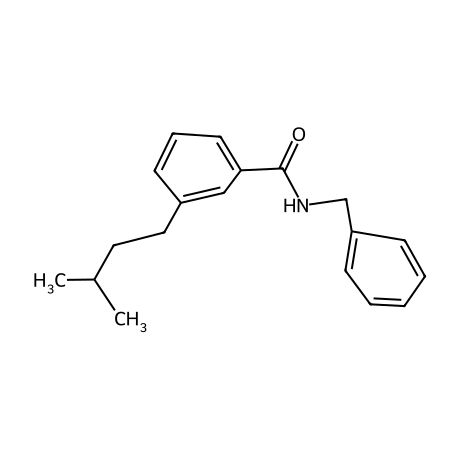 CC(C)CCc1cccc(C(=O)NCc2ccccc2)c1